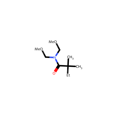 CCC(C)(C)C(=O)N(COC)COC